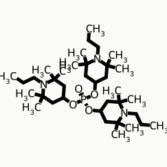 CCCN1C(C)(C)CC(OP(=O)(OC2CC(C)(C)N(CCC)C(C)(C)C2)OC2CC(C)(C)N(CCC)C(C)(C)C2)CC1(C)C